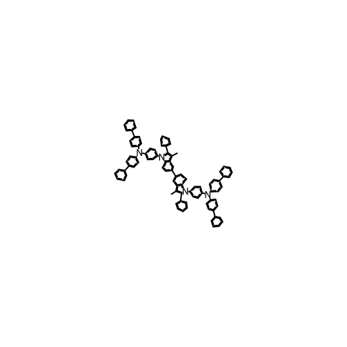 Cc1c(-c2ccccc2)n(-c2ccc(N(c3ccc(-c4ccccc4)cc3)c3ccc(-c4ccccc4)cc3)cc2)c2ccc(-c3ccc4c(c3)c(C)c(-c3ccccc3)n4-c3ccc(N(c4ccc(-c5ccccc5)cc4)c4ccc(-c5ccccc5)cc4)cc3)cc12